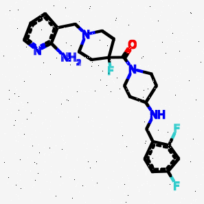 Nc1ncccc1CN1CCC(F)(C(=O)N2CCC(NCc3ccc(F)cc3F)CC2)CC1